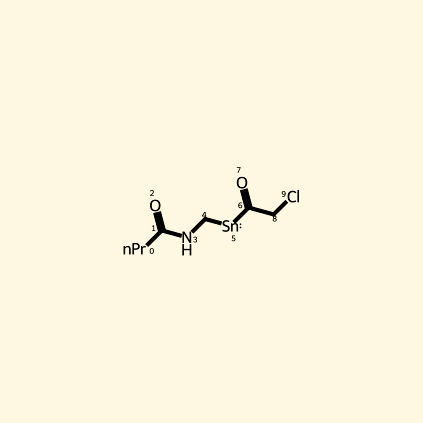 CCCC(=O)N[CH2][Sn][C](=O)CCl